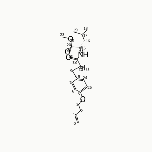 C=CCCOc1ccc(C[C@H](I)C(=O)N[C@@H](CC(C)C)C(=O)OC)cc1